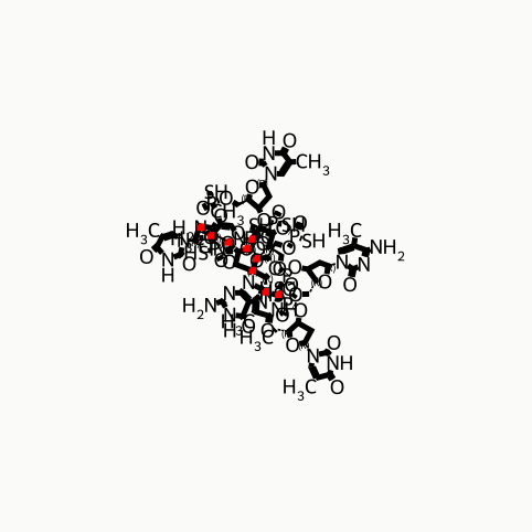 CC[C@H]1O[C@@H](n2cc(C)c(=O)[nH]c2=O)CC1OP(=O)(S)OC[C@H]1O[C@@H](n2cc(C)c(N)nc2=O)CC1OP(=O)(S)OC[C@H]1O[C@@H](n2cc(C)c(N)nc2=O)CC1OP(=O)(S)OC[C@H]1O[C@@H](n2cc(C)c(=O)[nH]c2=O)CC1OP(=O)(S)OC[C@H]1O[C@@H](n2cc(C)c(=O)[nH]c2=O)CC1OP(=O)(S)OC[C@H]1O[C@@H](n2cc(C)c(=O)[nH]c2=O)CC1OP(=O)(S)OC[C@H]1O[C@@H](n2cnc3c(=O)[nH]c(N)nc32)CC1OP(=O)(S)OC